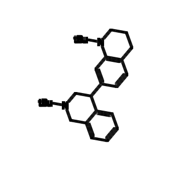 CC(C)(C)N1Cc2ccccc2C(c2ccc3c(c2)N(C(C)(C)C)CCC3)C1